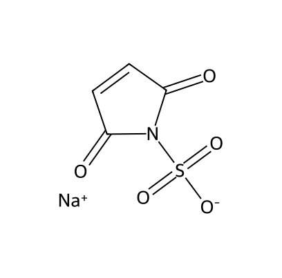 O=C1C=CC(=O)N1S(=O)(=O)[O-].[Na+]